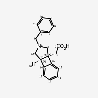 O=C(O)C[C@@]12CN(Cc3ccccc3)C[C@@H]1c1ccccc12